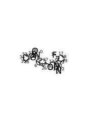 CN(C1C2CC3CC1CC(C(O)CC1c4c(F)cccc4-c4cncn41)(C3)C2)S(=O)(=O)Cc1ccccc1